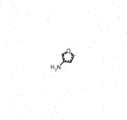 Nc1c[c]oc1